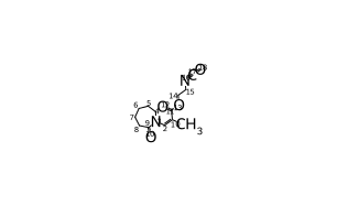 CC(=CN1CCCCCC1=O)C(=O)OCCN=C=O